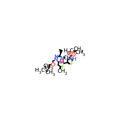 C=C(F)CC(OC/C(=C/F)CNC(=O)OC(C)(C)C)N(COCC[Si](C)(C)C)/N=C(\NC)C1CC1